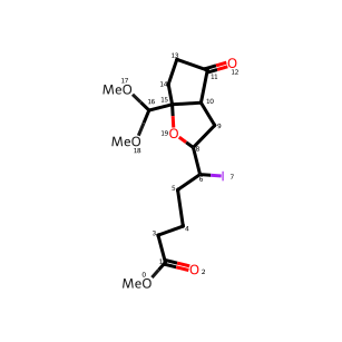 COC(=O)CCCC(I)C1CC2C(=O)CCC2(C(OC)OC)O1